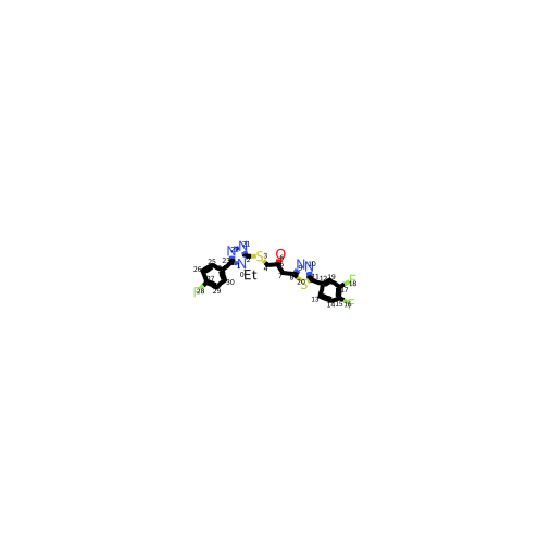 CCn1c(SCC(=O)Cc2nnc(-c3ccc(F)c(F)c3)s2)nnc1-c1ccc(F)cc1